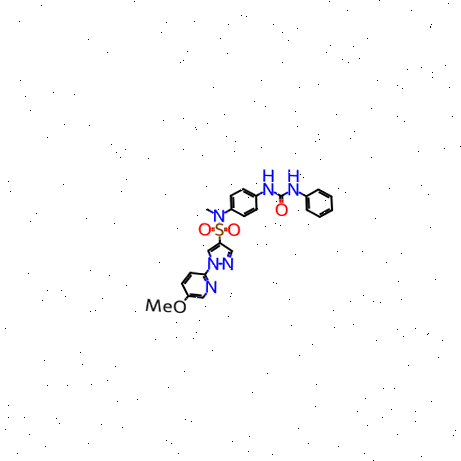 COc1ccc(-n2cc(S(=O)(=O)N(C)c3ccc(NC(=O)Nc4ccccc4)cc3)cn2)nc1